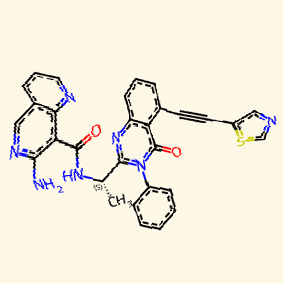 C[C@H](NC(=O)c1c(N)ncc2cccnc12)c1nc2cccc(C#Cc3cncs3)c2c(=O)n1-c1ccccc1